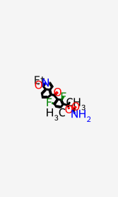 CCOc1nccc2c(C(=O)c3c(F)cc(C)c(C(C)OC(N)=O)c3F)cccc12